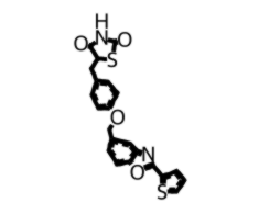 O=C1NC(=O)C(Cc2ccc(OCc3ccc4oc(-c5cccs5)nc4c3)cc2)S1